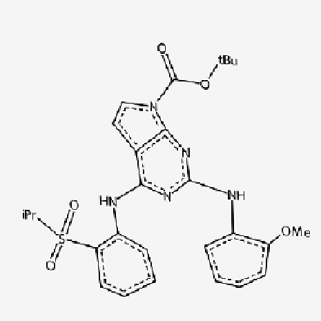 COc1ccccc1Nc1nc(Nc2ccccc2S(=O)(=O)C(C)C)c2ccn(C(=O)OC(C)(C)C)c2n1